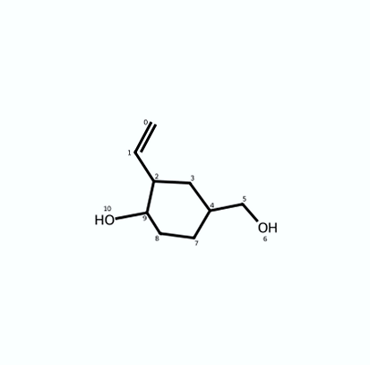 C=CC1CC(CO)CCC1O